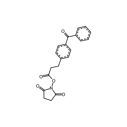 O=C(CCc1ccc(C(=O)c2ccccc2)cc1)ON1C(=O)CCC1=O